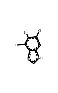 Clc1cc2[nH]cnc2c(Cl)c1Br